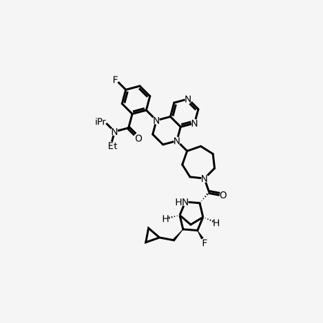 CCN(C(=O)c1cc(F)ccc1N1CCN(C2CCCN(C(=O)[C@H]3N[C@H]4C[C@@H]3[C@@H](F)[C@H]4CC3CC3)CC2)c2ncncc21)C(C)C